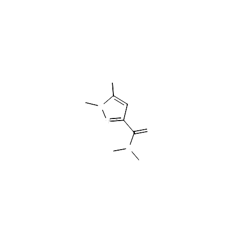 CN(C)C(=O)c1cc(Br)n(C)n1